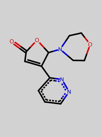 O=C1C=C(c2cccnn2)C(N2CCOCC2)O1